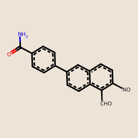 NC(=O)c1ccc(-c2ccc3c(C=O)c(N=O)ccc3c2)cc1